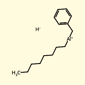 CCCCCCC[CH2][Al+][CH2]c1ccccc1.[H-]